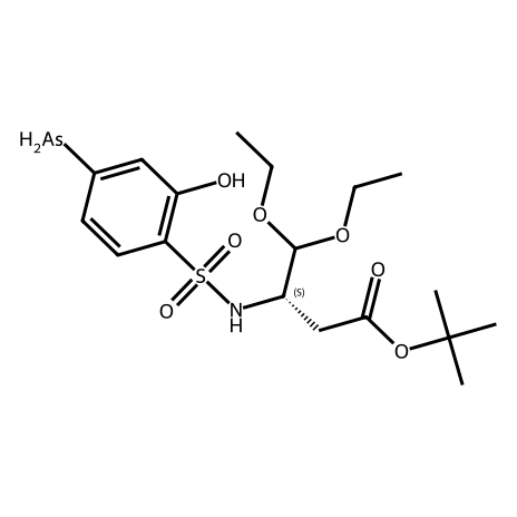 CCOC(OCC)[C@H](CC(=O)OC(C)(C)C)NS(=O)(=O)c1ccc([AsH2])cc1O